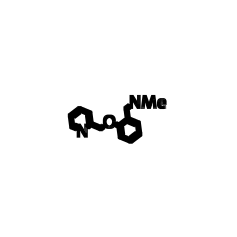 CNCc1ccccc1OCc1ccccn1